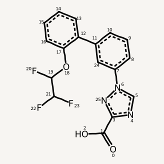 O=C(O)c1ncn(-c2cccc(-c3ccccc3OC(F)C(F)F)c2)n1